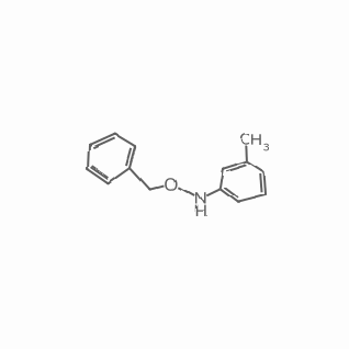 Cc1cccc(NOCc2ccccc2)c1